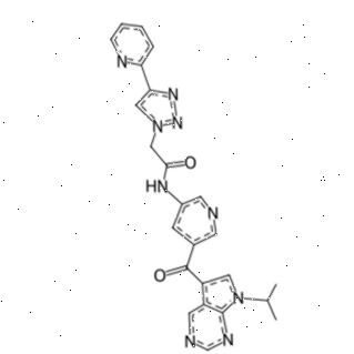 CC(C)n1cc(C(=O)c2cncc(NC(=O)Cn3cc(-c4ccccn4)nn3)c2)c2cncnc21